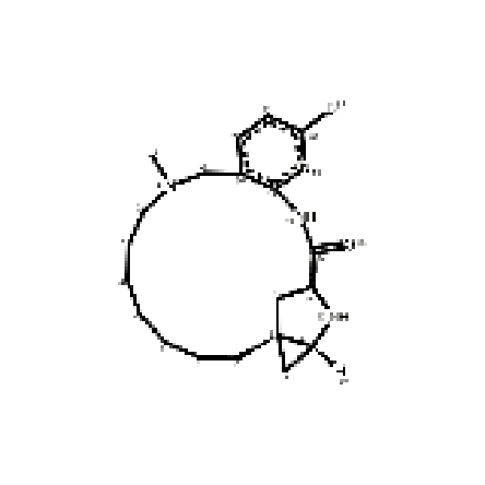 CN1CCCCCCC[C@@]23C[C@H](N[C@@H]2C3)C(=O)Nc2nc(Br)ccc2C1